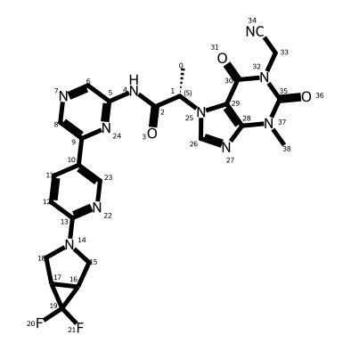 C[C@@H](C(=O)Nc1cncc(-c2ccc(N3CC4C(C3)C4(F)F)nc2)n1)n1cnc2c1c(=O)n(CC#N)c(=O)n2C